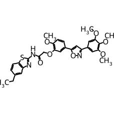 CCc1ccc2sc(NC(=O)COc3cc(-c4cc(-c5cc(OC)c(OC)c(OC)c5)no4)ccc3OC)nc2c1